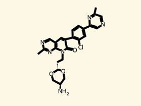 Cc1cncc(-c2ccc(-c3cc4cnc(C)nc4n(CC[C@H]4OC[C@H](N)CO4)c3=O)c(Cl)c2)n1